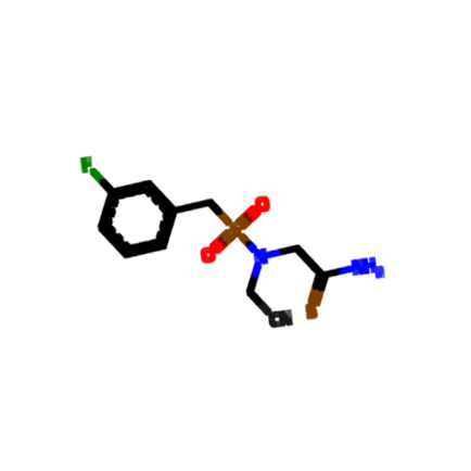 N#CCN(CC(N)=S)S(=O)(=O)Cc1cccc(F)c1